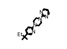 CCC(C)(C)c1ccc(N2CCN(c3ncccn3)CC2)nc1